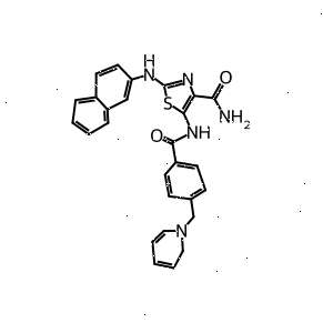 NC(=O)c1nc(Nc2ccc3ccccc3c2)sc1NC(=O)c1ccc(CN2C=CC=CC2)cc1